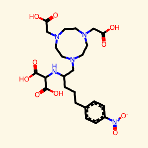 O=C(O)CN1CCN(CC(=O)O)CCN(CC(CCCc2ccc([N+](=O)[O-])cc2)NC(C(=O)O)C(=O)O)CC1